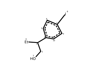 CCC(CO)c1ccc(I)cc1